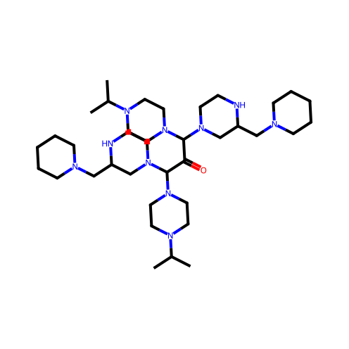 CC(C)N1CCN(C(C(=O)C(N2CCN(C(C)C)CC2)N2CCNC(CN3CCCCC3)C2)N2CCNC(CN3CCCCC3)C2)CC1